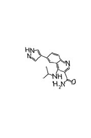 CC(C)Nc1c(C(N)=O)cnc2ccc(-c3cn[nH]c3)cc12